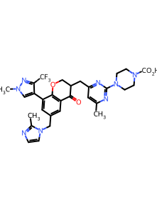 Cc1cc(CC2COc3c(cc(Cn4ccnc4C)cc3-c3cn(C)nc3C(F)(F)F)C2=O)nc(N2CCN(C(=O)O)CC2)n1